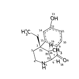 CC[C@@]12CCN[C@H](C(=O)c3ccc(O)cc31)[C@@H]2C